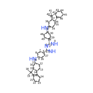 CN/C(=N\C(=N)c1ccc(Nc2ccc3c(c2)C(C)(C)c2ccccc2-3)cc1)c1ccc(Nc2ccc3c(c2)C(C)(C)c2ccccc2-3)cc1